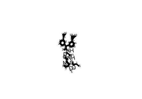 CCC(=O)Oc1c(OC)ccnc1C(=O)N[C@@H](C)C(=O)NC(C)=C(c1cccc(C2CC2)c1)c1cccc(C2CC2)c1